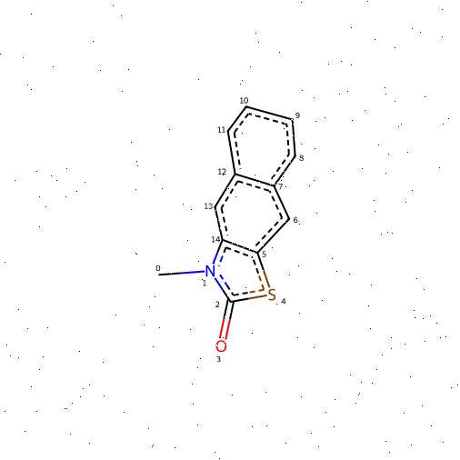 Cn1c(=O)sc2cc3ccccc3cc21